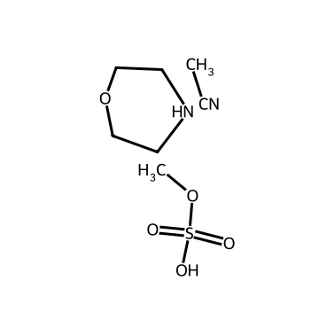 C1COCCN1.CC#N.COS(=O)(=O)O